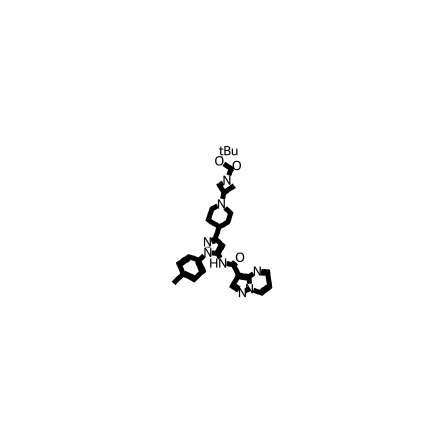 Cc1ccc(-n2nc(C3CCN(C4CN(C(=O)OC(C)(C)C)C4)CC3)cc2NC(=O)c2cnn3cccnc23)cc1